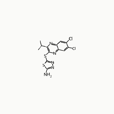 CC(C)c1nc2cc(Cl)c(Cl)cc2nc1Sc1nnc(N)s1